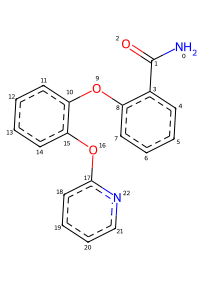 NC(=O)c1ccccc1Oc1ccccc1Oc1ccccn1